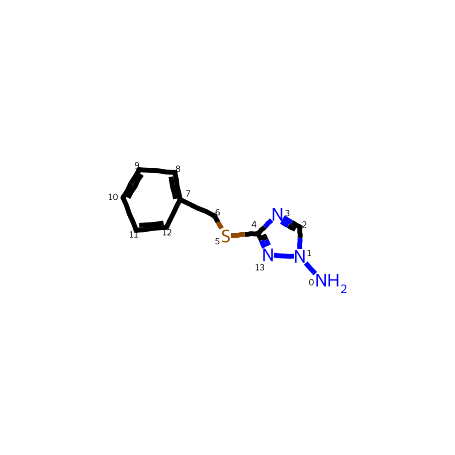 Nn1cnc(SCc2ccccc2)n1